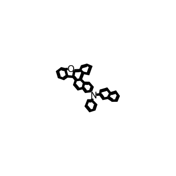 c1ccc(N(c2ccc3ccccc3c2)c2ccc3c(ccc4c3c3ccccc3c3oc5ccccc5c43)c2)cc1